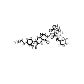 C[C@@](CCn1cnc2cc(-c3ccc(CCO)cc3F)c(F)cc2c1=O)(C(=O)NOC1CCCCO1)S(C)(=O)=O